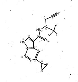 CC(C)(C)[C@@H](CC#N)NC(=O)c1c[nH]c2ncc(C3CC3)nc12